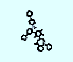 C=C1/C=C(c2c(C)c(C)cc(-c3cc(C4=CC=CCC4)ccc3N(C)c3ccc(-c4ccccc4)cc3)c2C)\C=C/N(c2ccccc2)C2=C1C=CCC2